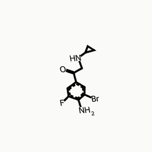 Nc1c(F)cc(C(=O)CNC2CC2)cc1Br